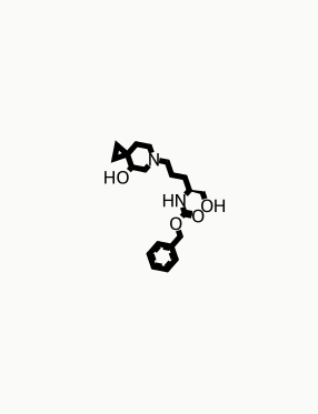 O=C(N[C@H](CO)CCCN1CCC2(CC2)C(O)C1)OCc1ccccc1